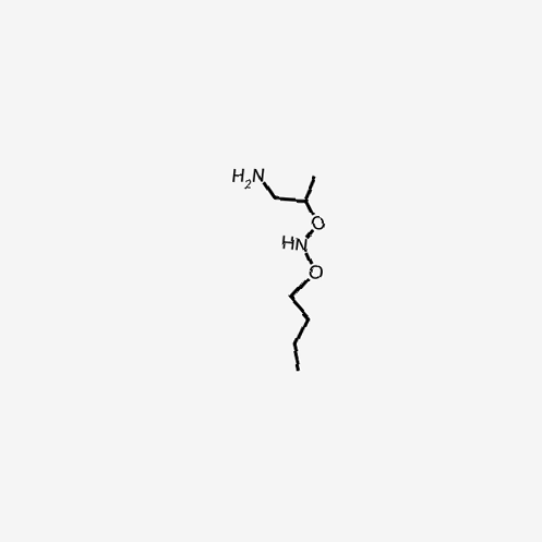 CCCCONOC(C)CN